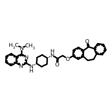 CN(C)c1nc(N[C@H]2CC[C@@H](NC(=O)COc3ccc4c(c3)CCc3ccccc3C4=O)CC2)nc2ccccc12